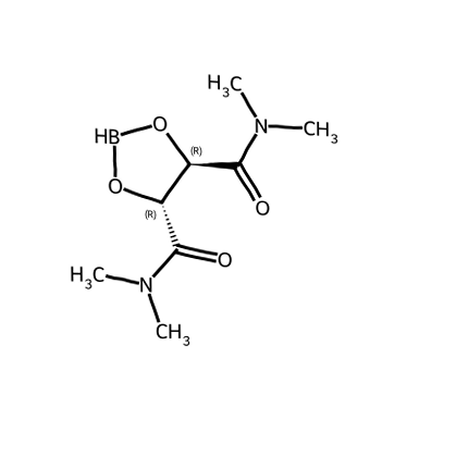 CN(C)C(=O)[C@@H]1OBO[C@H]1C(=O)N(C)C